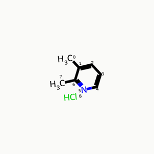 Cc1cccnc1C.Cl